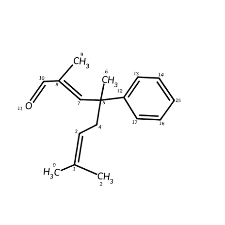 CC(C)=CCC(C)(/C=C(\C)C=O)c1ccccc1